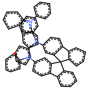 c1ccc(N(c2ccccc2)c2ccc3c(c2)C2(c4ccccc4-3)c3ccccc3-c3ccc(N(c4ccccc4)c4ccc5c(c4)c4ccccc4n5-c4ccccc4)cc32)cc1